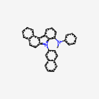 CN(c1ccccc1)c1cccc2c3c4ccccc4ccc3n(-c3ccc4ccccc4c3)c12